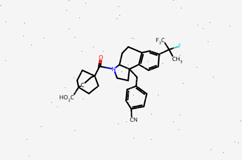 CC(F)(c1ccc2c(c1)CCC1N(C(=O)C34CCC(C(=O)O)(CC3)CC4)CCC21Cc1ccc(C#N)cc1)C(F)(F)F